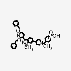 C[C@H](C1CCN(C(=O)O)CC1)N1CC=C(c2ccc3c(-c4ccc(OCc5ccccc5)nc4OCc4ccccc4)nn(C)c3c2)CC1